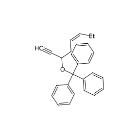 C#CC(C/C=C\CC)OC(c1ccccc1)(c1ccccc1)c1ccccc1